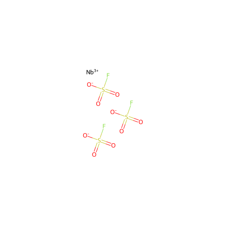 O=S(=O)([O-])F.O=S(=O)([O-])F.O=S(=O)([O-])F.[Nb+3]